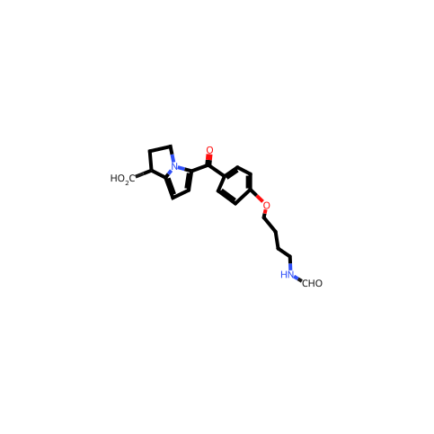 O=CNCCCCOc1ccc(C(=O)c2ccc3n2CCC3C(=O)O)cc1